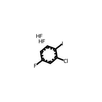 F.F.Fc1ccc(I)c(Cl)c1